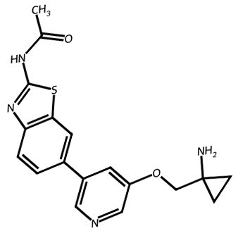 CC(=O)Nc1nc2ccc(-c3cncc(OCC4(N)CC4)c3)cc2s1